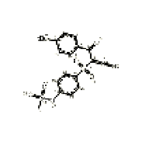 CC(C)(C)c1ccc(C(=O)C(=[N+]=[N-])S(=O)(=O)c2ccc(OS(C)(=O)=O)cc2)cc1